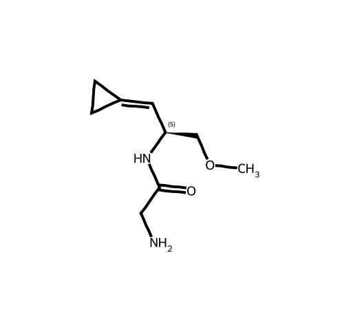 COC[C@H](C=C1CC1)NC(=O)CN